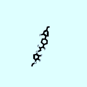 CCOc1ccc(OCC(F)C(F)C2CCC(c3ccc(CC)cc3F)CC2)c(F)c1F